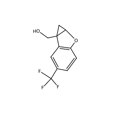 OCC12CC1Oc1ccc(C(F)(F)F)cc12